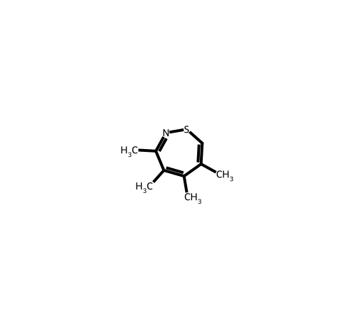 CC1=CSN=C(C)C(C)=C1C